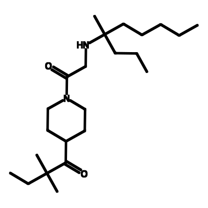 CCCCCC(C)(CCC)NCC(=O)N1CCC(C(=O)C(C)(C)CC)CC1